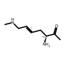 CNC/C=C/C[C@H](N)C(C)=O